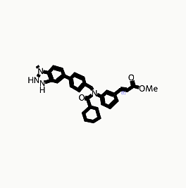 COC(=O)/C=C/c1cccc(N(Cc2ccc(-c3ccc4c(c3)NNN4C)cc2)C(=O)C2CCCCC2)c1